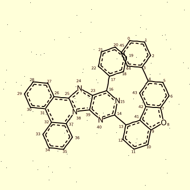 c1ccc(-c2ccc3oc4cccc(-c5nc(-c6ccccc6)c6nc7c8ccccc8c8ccccc8n7c6n5)c4c3c2)cc1